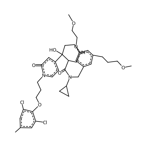 COCCCc1cc(CN(C(=O)C2CNCCC2(O)c2ccn(CCCOc3c(Cl)cc(C)cc3Cl)c(=O)c2)C2CC2)cc(OCCOC)c1